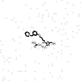 CC(=O)O.Cn1nc(CO)nc1NCCCCOc1cccc(CN2CCCCC2)c1